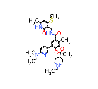 CCN1CCC([C@@]2(C)Oc3c(-c4ccc(N(C)CC)nc4)cc(C(=O)NCc4c(SC)cc(C)[nH]c4=O)c(C)c3O2)CC1